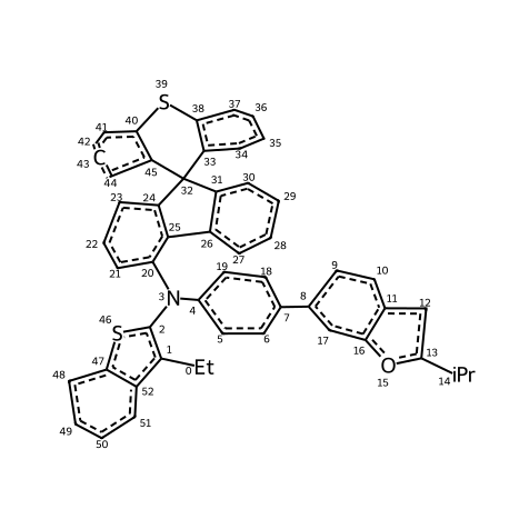 CCc1c(N(c2ccc(-c3ccc4cc(C(C)C)oc4c3)cc2)c2cccc3c2-c2ccccc2C32c3ccccc3Sc3ccccc32)sc2ccccc12